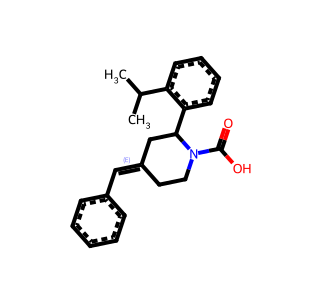 CC(C)c1ccccc1C1C/C(=C/c2ccccc2)CCN1C(=O)O